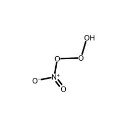 O=[N+]([O-])OOO